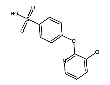 O=S(=O)(O)c1ccc(Oc2ncccc2Cl)cc1